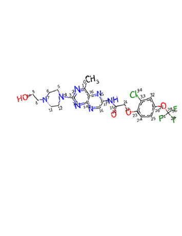 Cc1nc(N2CCN(CCO)CC2)nc2ncc(NC(=O)COc3ccc(OC(F)(F)F)cc3Cl)nc12